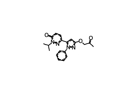 CC(=O)COc1cc(-c2ccc(=O)n(C(C)C)n2)n(-c2ccccc2)n1